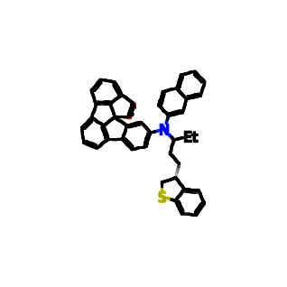 CCC(CC[C@H]1CSc2ccccc21)N(c1ccc2c(c1)C13c4ccccc4-c4cccc(c41)-c1cccc-2c13)c1ccc2ccccc2c1